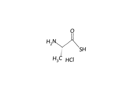 C[C@H](N)C(=O)S.Cl